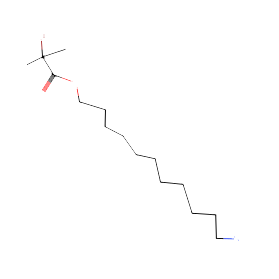 CC(C)(Br)C(=O)OCCCCCCCCCCCN